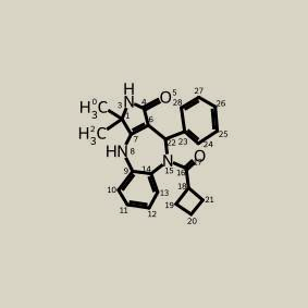 CC1(C)NC(=O)C2=C1Nc1ccccc1N(C(=O)C1CCC1)C2c1ccccc1